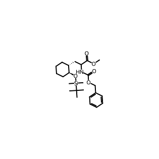 COC(=O)C(C[C@H]1CCCC[C@@H]1O[Si](C)(C)C(C)(C)C)NC(=O)OCc1ccccc1